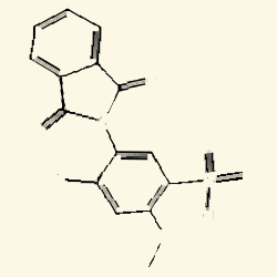 COc1cc(F)c(N2C(=O)c3ccccc3C2=O)cc1S(=O)(=O)Cl